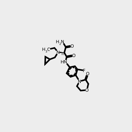 CCN(CC1CC1)[C@@H](C(N)=O)C(=O)Nc1ccc(N2CCOCC2=O)c(F)c1